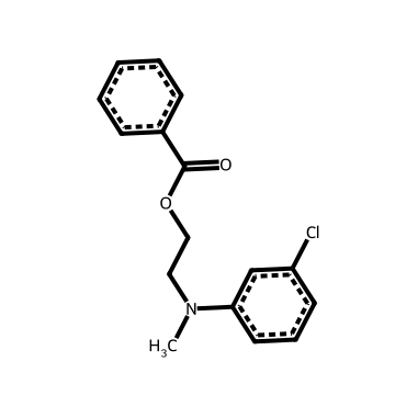 CN(CCOC(=O)c1ccccc1)c1cccc(Cl)c1